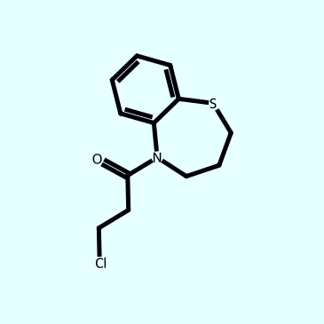 O=C(CCCl)N1CCCSc2ccccc21